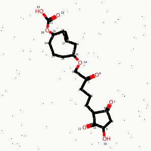 O=C(CCCC1C(=O)CC(O)C1=O)COC1C/C=C/C(OC(=O)O)CCC1